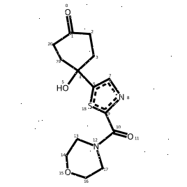 O=C1CCC(O)(c2cnc(C(=O)N3CCOCC3)s2)CC1